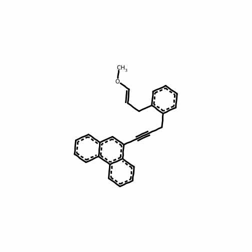 CO/C=C/Cc1ccccc1CC#Cc1cc2ccccc2c2ccccc12